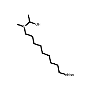 CCCCCCCCCCCCCCCCCCN(C)C(C)O